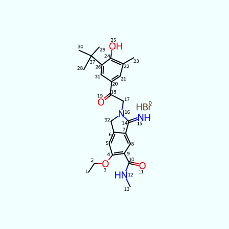 Br.CCOc1cc2c(cc1C(=O)NC)C(=N)N(CC(=O)c1cc(C)c(O)c(C(C)(C)C)c1)C2